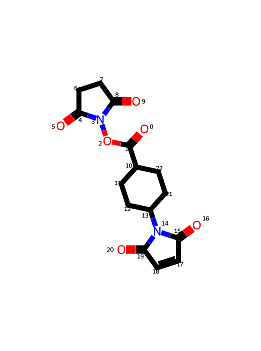 O=C(ON1C(=O)CCC1=O)C1CCC(N2C(=O)C=CC2=O)CC1